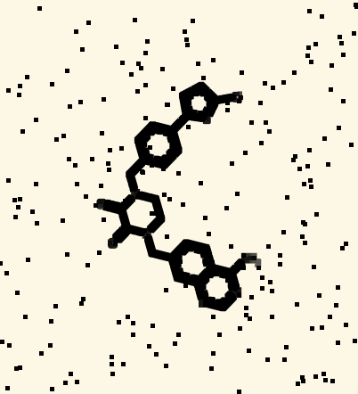 Nc1ncnc2cc(CN3CCN(Cc4ccc(-c5ccc(Cl)s5)cc4)C(=O)C3=O)ccc12